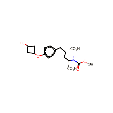 CC(C)(C)OC(=O)N[C@@H](C[C@H](Cc1ccc(OC2CC(O)C2)cc1)C(=O)O)C(=O)O